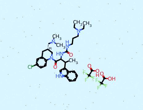 CCN(CC)CCCNC(=O)NC(C(=O)N1C[C@@H](CN(C)C)Cc2cc(Cl)ccc21)C(C)c1c[nH]c2ccccc12.O=C(O)C(F)(F)F.O=C(O)C(F)(F)F